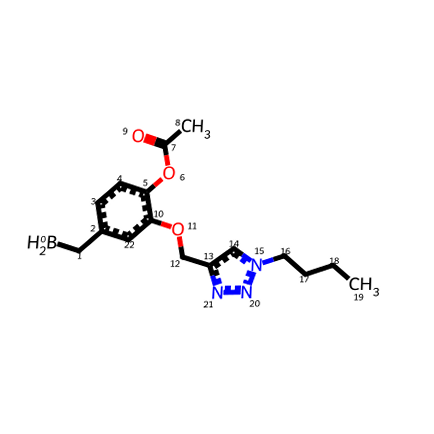 BCc1ccc(OC(C)=O)c(OCc2cn(CCCC)nn2)c1